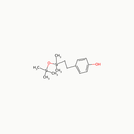 C[Si](C)(C)O[Si](C)(C)CCc1ccc(O)cc1